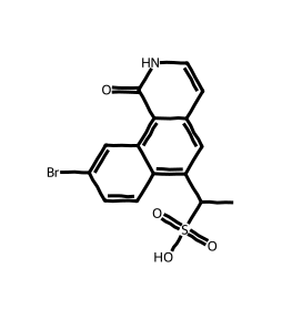 CC(c1cc2cc[nH]c(=O)c2c2cc(Br)ccc12)S(=O)(=O)O